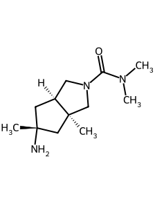 CN(C)C(=O)N1C[C@@H]2C[C@@](C)(N)C[C@]2(C)C1